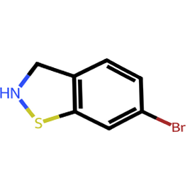 Brc1ccc2c(c1)SNC2